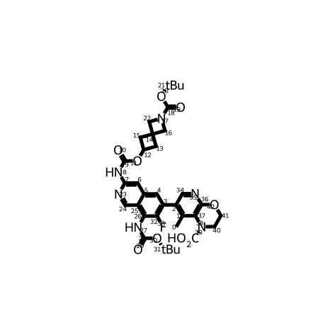 Cc1c(-c2cc3cc(NC(=O)OC4CC5(C4)CN(C(=O)OC(C)(C)C)C5)ncc3c(NC(=O)OC(C)(C)C)c2F)cnc2c1N(C(=O)O)CCO2